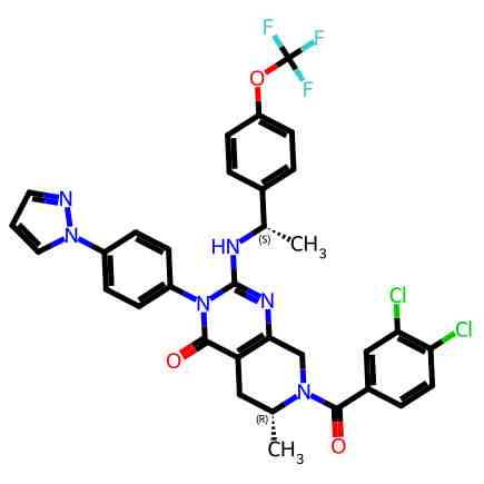 C[C@H](Nc1nc2c(c(=O)n1-c1ccc(-n3cccn3)cc1)C[C@@H](C)N(C(=O)c1ccc(Cl)c(Cl)c1)C2)c1ccc(OC(F)(F)F)cc1